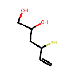 C=C[C](S)CC(O)CO